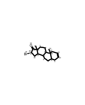 CC12CCC3C(CCC4CC=CCC43C)C1C[C@@H](Br)C2=O